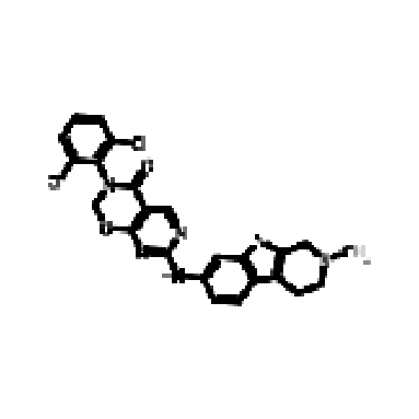 CN1CCc2c([nH]c3cc(Nc4ncc5c(n4)OCN(c4c(Cl)cccc4Cl)C5=O)ccc23)C1